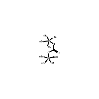 CCCCP(CCCC)(CCCC)(CCCC)OC(=O)OP(CCCC)(CCCC)(CCCC)CCCC